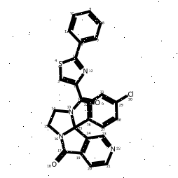 O=C(c1csc(-c2ccccc2)n1)N1CCN2C(=O)c3ccncc3C12c1ccc(Cl)cc1